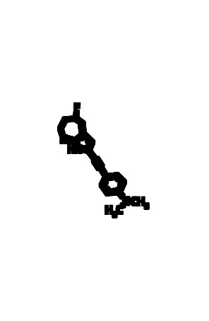 CN(C)c1ccc(C#Cc2cc3c([nH]2)=NCCC(F)C=3)cc1